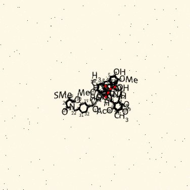 COc1cc2c(cc1O)CCN(C(=O)OCOC(=O)C1CCC(CN3C(=O)CC(SC)C3=O)CC1)[C@]21CS[C@@H]2c3c(OC(C)=O)c(C)c4c(c3[C@H](COC1=O)N1C(O)[C@@H]3Cc5cc(C)c(OC)c(O)c5[C@H]([C@H]21)N3C)OCO4